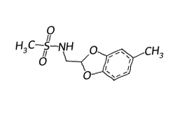 Cc1ccc2c(c1)OC(CNS(C)(=O)=O)O2